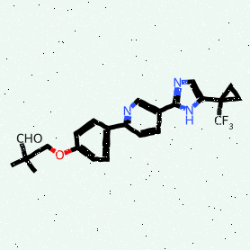 CC(C)(C=O)COc1ccc(-c2ccc(-c3ncc(C4(C(F)(F)F)CC4)[nH]3)cn2)cc1